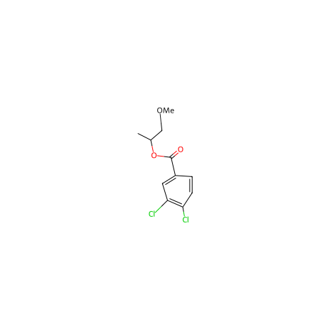 COCC(C)OC(=O)c1ccc(Cl)c(Cl)c1